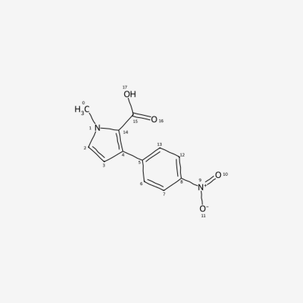 Cn1ccc(-c2ccc([N+](=O)[O-])cc2)c1C(=O)O